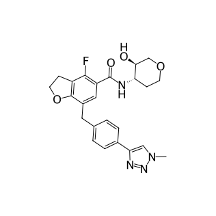 Cn1cc(-c2ccc(Cc3cc(C(=O)N[C@H]4CCOC[C@@H]4O)c(F)c4c3OCC4)cc2)nn1